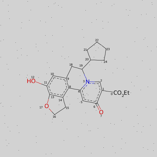 CCOC(=O)c1cn2c(cc1=O)-c1c(cc(O)c3c1CCO3)CC2C1CCCC1